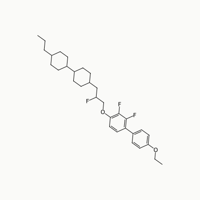 CCCC1CCC(C2CCC(CC(F)COc3ccc(-c4ccc(OCC)cc4)c(F)c3F)CC2)CC1